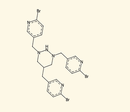 Brc1ccc(CC2CN(Cc3ccc(Br)nc3)NN(Cc3ccc(Br)nc3)C2)cn1